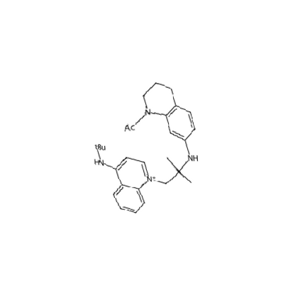 CC(=O)N1CCCc2ccc(NC(C)(C)C[n+]3ccc(NC(C)(C)C)c4ccccc43)cc21